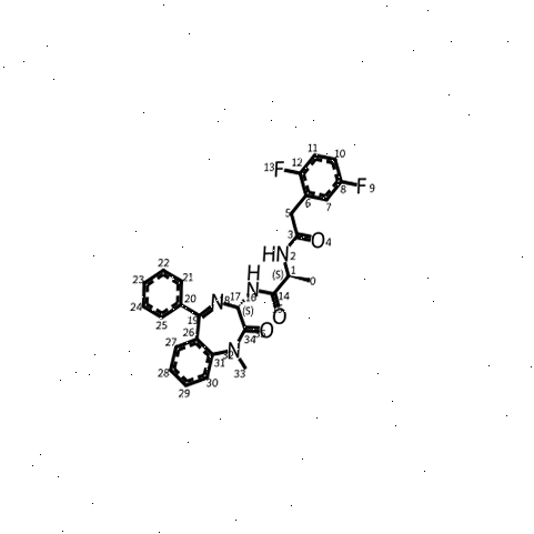 C[C@H](NC(=O)Cc1cc(F)ccc1F)C(=O)N[C@H]1N=C(c2ccccc2)c2ccccc2N(C)C1=O